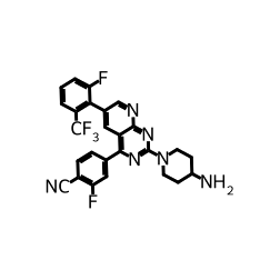 N#Cc1ccc(-c2nc(N3CCC(N)CC3)nc3ncc(-c4c(F)cccc4C(F)(F)F)cc23)cc1F